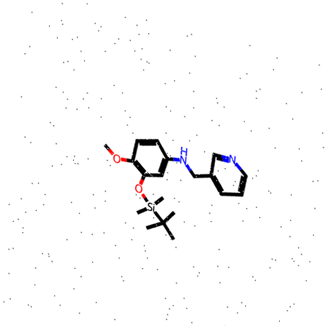 COc1ccc(NCc2cccnc2)cc1O[Si](C)(C)C(C)(C)C